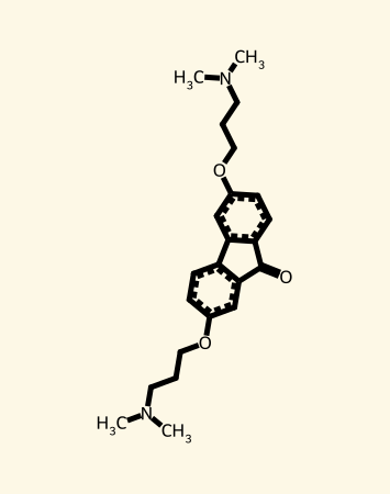 CN(C)CCCOc1ccc2c(c1)C(=O)c1ccc(OCCCN(C)C)cc1-2